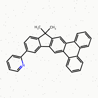 CC1(C)c2ccc(-c3ccccn3)cc2-c2cc3c4ccccc4c4ccccc4c3cc21